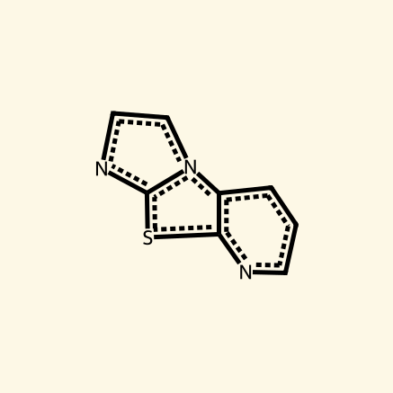 c1cnc2sc3nccn3c2c1